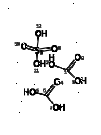 O=C(O)O.O=C(O)O.O=S(=O)(O)O